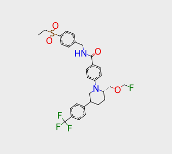 CCS(=O)(=O)c1ccc(CNC(=O)c2ccc(N3CC(c4ccc(C(F)(F)F)cc4)CC[C@H]3COCF)cc2)cc1